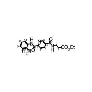 CCOC(=O)CCNC(=O)c1ccc(C(=O)Nc2ccccc2N)nc1